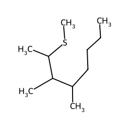 CCCCC(C)C(C)C(C)SC